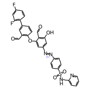 O=Cc1cc(-c2ccc(F)cc2F)ccc1Oc1cc(/N=N/c2ccc(S(=O)(=O)Nc3ccccn3)cc2)cc(O)c1C=O